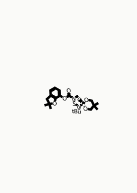 CN(SN(C(C)(C)C)P1(=O)OCC(C)(C)CO1)C(=O)Oc1cccc2c1OC(C)(C)C2